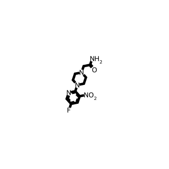 NC(=O)CN1CCN(c2ncc(F)cc2[N+](=O)[O-])CC1